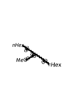 CCCCCC/C=C/COC(=O)CCCCCCCC(CCCCCCCC(=O)OC/C=C/CCCCCC)OC(=O)CCCOCOC